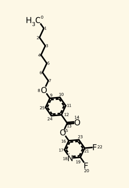 CCCCCCCCOc1ccc(C(=O)Oc2cnc(F)c(F)c2)cc1